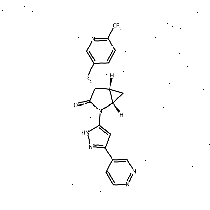 O=C1[C@H](Cc2ccc(C(F)(F)F)nc2)[C@@H]2C[C@@H]2N1c1cc(-c2ccnnc2)n[nH]1